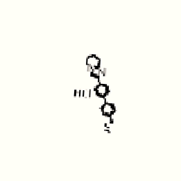 CSCc1ccc(-c2ccc(-c3cn4c(n3)CCCC4)cc2)cc1.Cl